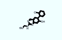 CC(C)(C)CNc1ncc2cc(-c3ccccc3Cl)c(O)cc2n1